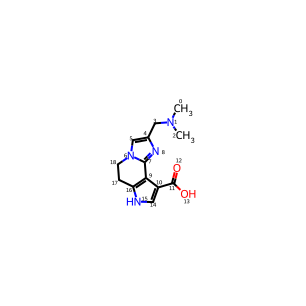 CN(C)Cc1cn2c(n1)-c1c(C(=O)O)c[nH]c1CC2